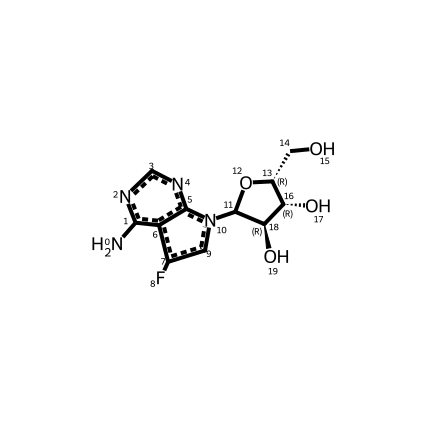 Nc1ncnc2c1c(F)cn2C1O[C@H](CO)[C@H](O)[C@H]1O